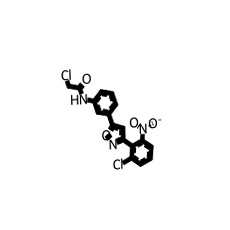 O=C(CCl)Nc1cccc(-c2cc(-c3c(Cl)cccc3[N+](=O)[O-])no2)c1